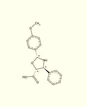 COc1ccc([C@@H]2N[C@@H](c3ccccc3)[C@H](C(=O)O)O2)cc1